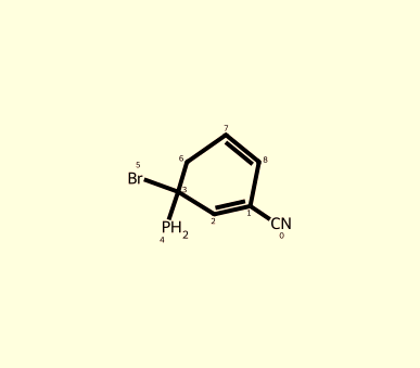 N#CC1=CC(P)(Br)CC=C1